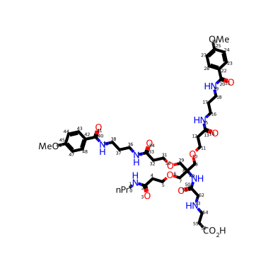 CCCNC(=O)CCOCC(COCCC(=O)NCCCNC(=O)c1ccc(OC)cc1)(COCCC(=O)NCCCNC(=O)c1ccc(OC)cc1)NC(=O)CNCCC(=O)O